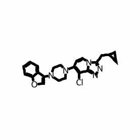 Clc1c(N2CCN(c3coc4ccccc34)CC2)ccn2c(CC3CC3)nnc12